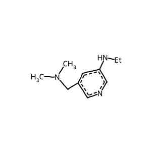 CCNc1cncc(CN(C)C)c1